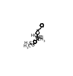 CC(C)Oc1ccc(N(C)CCC2(O)CCN(CCc3ccccc3)CC2)cc1.Cl.Cl